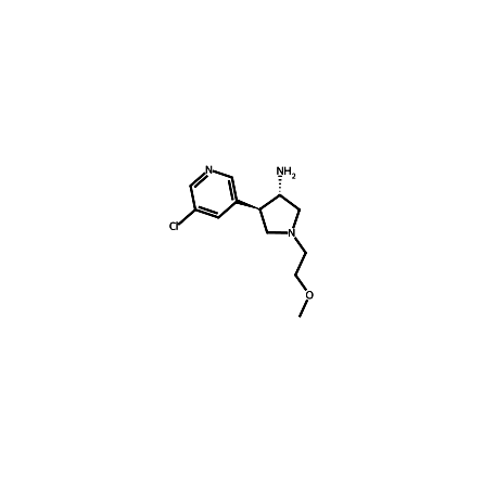 COCCN1C[C@@H](N)[C@H](c2cncc(Cl)c2)C1